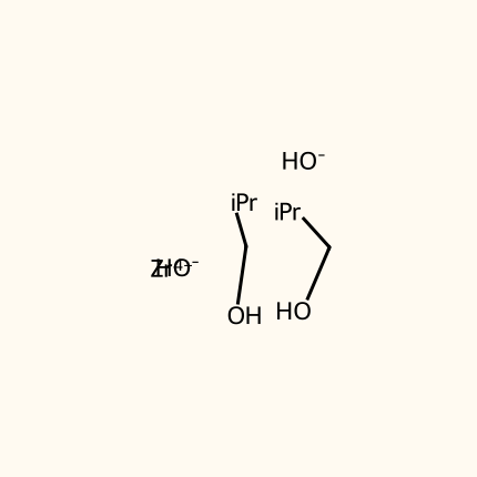 CC(C)CO.CC(C)CO.[OH-].[OH-].[Zr+4]